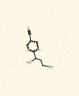 CCCC(C)c1ncc(C#N)cn1